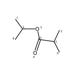 C[C](C)C(=O)OC(C)C